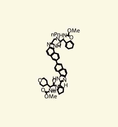 CCCN(Cc1nc2ccc3cc(-c4ccc5c(ccc6nc(C7[C@H]8CC[C@H](C8)N7C(=O)[C@@H](NC(=O)OC)C7CCOCC7)[nH]c65)c4)ccc3c2[nH]1)C(=O)[C@H](NC(=O)OC)C1=CCCC=C1